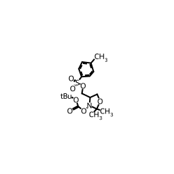 Cc1ccc(S(=O)(=O)OCC2COC(C)(C)N2OC(=O)OC(C)(C)C)cc1